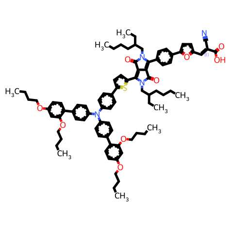 CCCCOc1ccc(-c2ccc(N(c3ccc(-c4ccc(C5=C6C(=O)N(CC(CC)CCCC)C(c7ccc(-c8ccc(/C=C(\C#N)C(=O)O)o8)cc7)=C6C(=O)N5CC(CC)CCCC)s4)cc3)c3ccc(-c4ccc(OCCCC)cc4OCCCC)cc3)cc2)c(OCCCC)c1